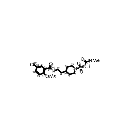 CNC(=O)NS(=O)(=O)N1CCC(CCNC(=O)c2cc(Cl)ccc2OC)CC1